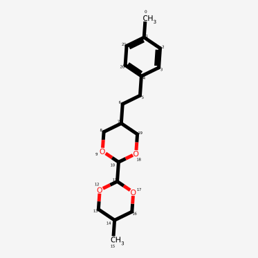 Cc1ccc(CCC2COC(C3OCC(C)CO3)OC2)cc1